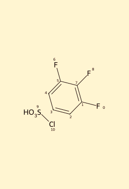 Fc1cccc(F)c1F.O=S(=O)(O)Cl